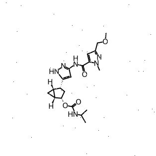 COCc1cc(C(=O)Nc2cc([C@@H]3C[C@H](OC(=O)NC(C)C)[C@@H]4C[C@@H]43)[nH]n2)n(C)n1